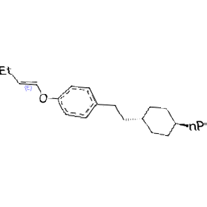 CC/C=C/Oc1ccc(CC[C@H]2CC[C@H](CCC)CC2)cc1